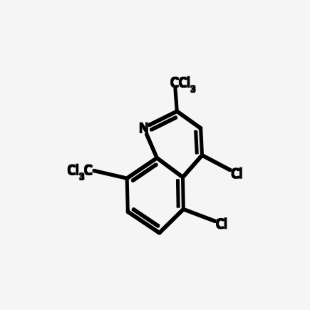 Clc1ccc(C(Cl)(Cl)Cl)c2nc(C(Cl)(Cl)Cl)cc(Cl)c12